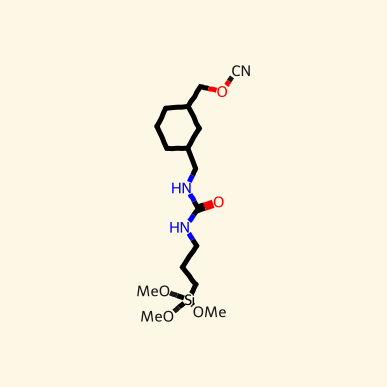 CO[Si](CCCNC(=O)NCC1CCCC(COC#N)C1)(OC)OC